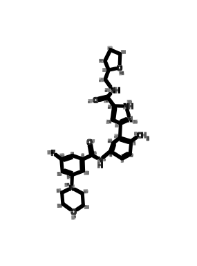 Cc1ccc(NC(=O)c2cc(F)cc(N3CCOCC3)c2)cc1-c1cc(C(=O)NCC2CCCO2)[nH]n1